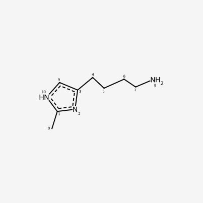 Cc1nc(CCCCN)c[nH]1